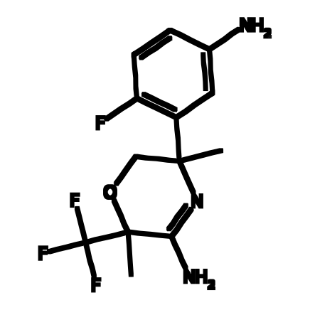 CC1(c2cc(N)ccc2F)COC(C)(C(F)(F)F)C(N)=N1